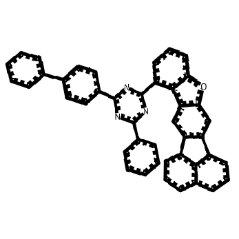 c1ccc(-c2ccc(-c3nc(-c4ccccc4)nc(-c4cccc5oc6cc7c(cc6c45)-c4cccc5cccc-7c45)n3)cc2)cc1